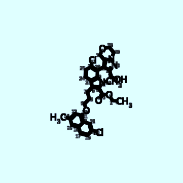 CCOC(=O)c1c(CCCOc2cc(C)cc3ccc(Cl)cc23)c2ccc(Cl)c(-c3c(CO)nn4c3COCC4)c2n1C